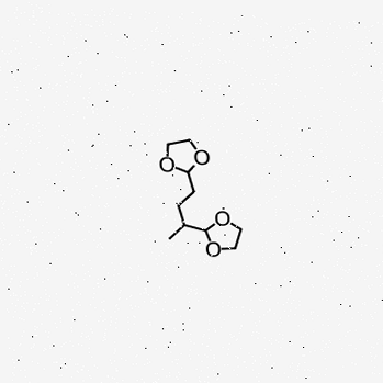 CC(CCC1OCCO1)C1OCCO1